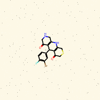 O=C1CNCC2=C1C(c1ccc(F)c(Br)c1)C1=C(CSCC1=O)N2